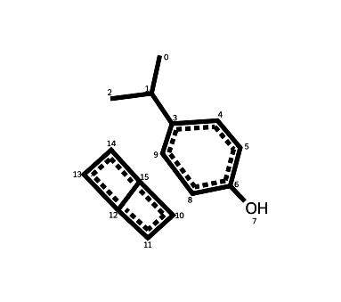 CC(C)c1ccc(O)cc1.c1cc2ccc1-2